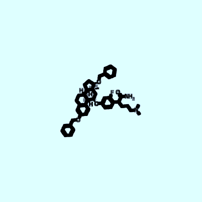 CN(C)CCCC(C(N)=O)c1ccc(O[C@H]2C[C@]3(C)[C@@H](OCc4ccccc4)CC[C@H]3[C@@H]3CCc4cc(OCc5ccccc5)ccc4[C@H]32)cc1F